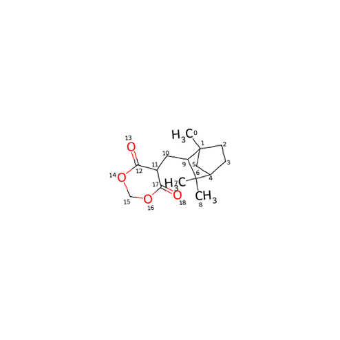 CC12CCC(C1)C(C)(C)C2CC1C(=O)OCOC1=O